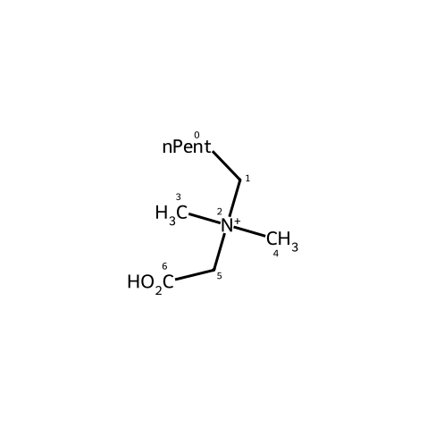 CCCCCC[N+](C)(C)CC(=O)O